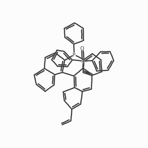 C=Cc1ccc2c(-c3c(P(c4ccccc4)c4ccccc4)ccc4ccccc34)c(P(=O)(c3ccccc3)c3ccccc3)ccc2c1